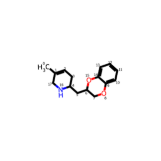 CC1=CCC(CC2COc3ccccc3O2)NC1